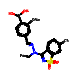 COc1cc(/C=N/N(CC(C)C)C2=NS(=O)(=O)c3cc(C#N)ccc32)ccc1B(O)O